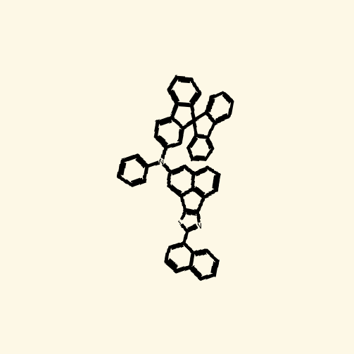 c1ccc(N(c2ccc3c(c2)C2(c4ccccc4-c4ccccc42)c2ccccc2-3)c2cc3c4c(cccc4c2)-c2nc(-c4cccc5ccccc45)sc2-3)cc1